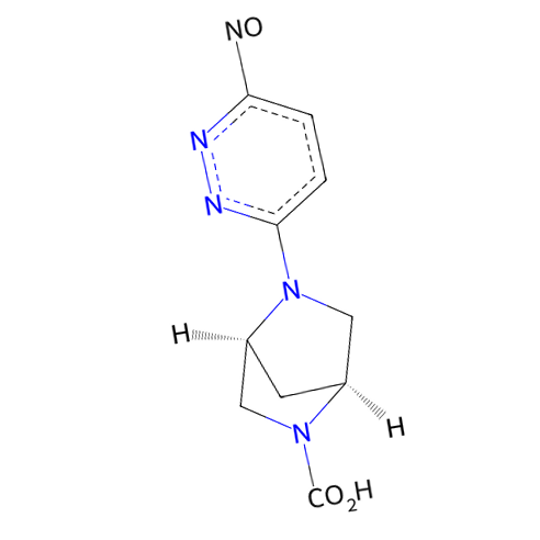 O=Nc1ccc(N2C[C@@H]3C[C@H]2CN3C(=O)O)nn1